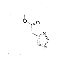 COC(=O)Cc1cscn1